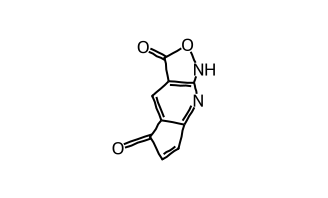 O=C1C=Cc2nc3[nH]oc(=O)c3cc21